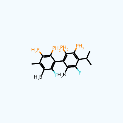 Bc1c(C)c(P)c(P)c(-c2c(B)c(F)c(C(C)C)c(P)c2P)c1F